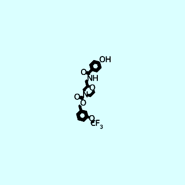 O=C(NCC1CN(C(=O)OCc2cccc(OC(F)(F)F)c2)CCO1)c1ccc(O)cc1